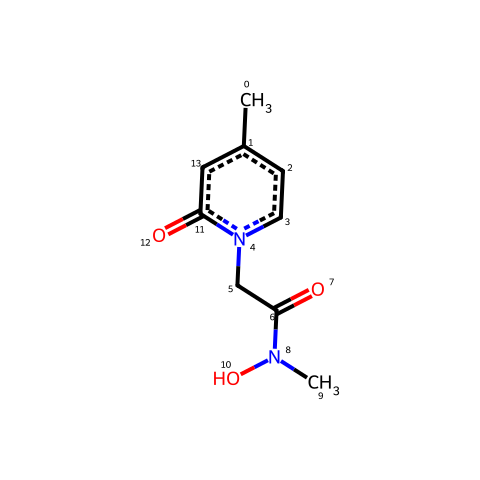 Cc1ccn(CC(=O)N(C)O)c(=O)c1